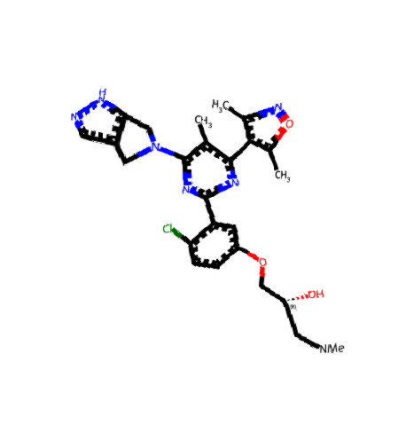 CNC[C@@H](O)COc1ccc(Cl)c(-c2nc(-c3c(C)noc3C)c(C)c(N3Cc4cn[nH]c4C3)n2)c1